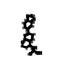 O=C(O)NC1CCOc2cc(-c3ccc4nsnc4c3)ccc21